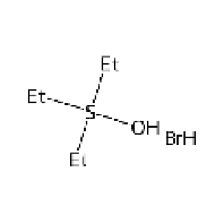 Br.CCS(O)(CC)CC